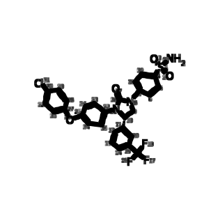 NS(=O)(=O)c1ccc(N2C[C@H](c3cccc(C(F)(F)F)c3)N(c3ccc(Oc4ccc(Cl)cc4)cc3)C2=O)cc1